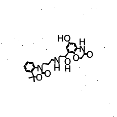 CC1(C)OC(=O)N(CCCNCC(O)c2cc(O)cc3c2OCC(=O)N3)c2ccccc21